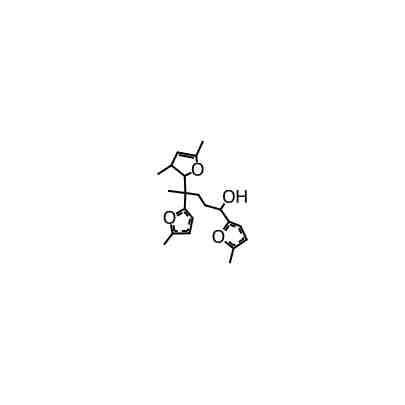 CC1=CC(C)C(C(C)(CCC(O)c2ccc(C)o2)c2ccc(C)o2)O1